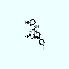 CCC(=O)OC.O=C(NC1CCCNC1)N1CCN(C2CCNCC2)CC1